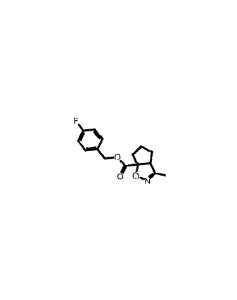 CC1=NOC2(C(=O)OCc3ccc(F)cc3)CCCC12